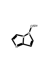 COn1ccc2nccn21